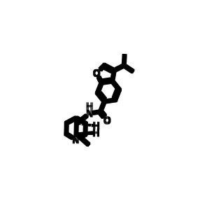 CC(C)c1coc2cc(C(=O)N[C@@H]3C4CCN(CC4)[C@H]3C)ccc12